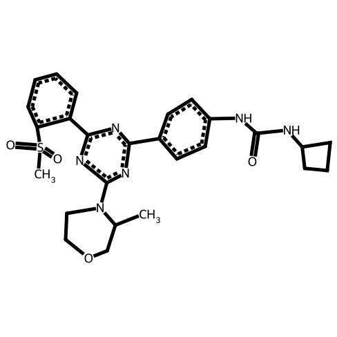 CC1COCCN1c1nc(-c2ccc(NC(=O)NC3CCC3)cc2)nc(-c2ccccc2S(C)(=O)=O)n1